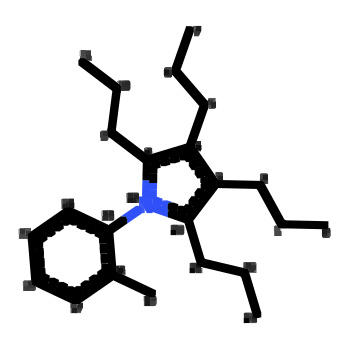 CCCc1c(CCC)c(CCC)n(-c2ccccc2C)c1CCC